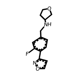 Fc1cc(CNC2CCOC2)ccc1-c1ccon1